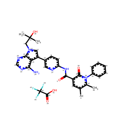 CC(=O)c1cc(C(=O)Nc2ccc(-c3cn(CC(C)(C)O)c4ncnc(N)c34)cn2)c(=O)n(-c2ccccc2)c1C.O=C(O)C(F)(F)F